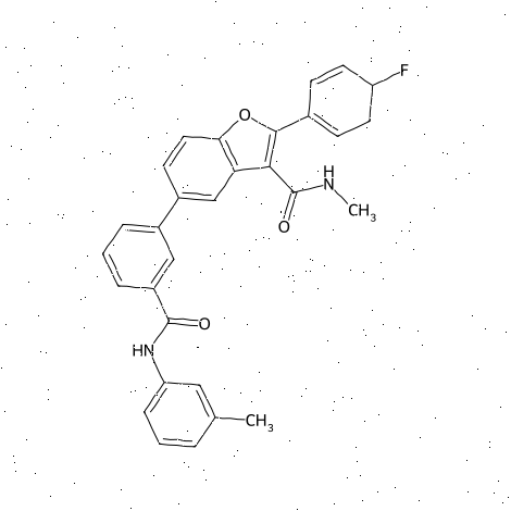 CNC(=O)c1c(C2=CCC(F)C=C2)oc2ccc(-c3cccc(C(=O)Nc4cccc(C)c4)c3)cc12